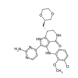 COc1c(Cl)cccc1Nc1c(-c2ccnc(N)n2)[nH]c2c1C(=O)NC[C@H]2C[C@@H]1COCCO1